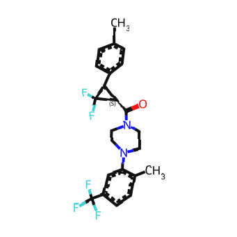 Cc1ccc(C2[C@@H](C(=O)N3CCN(c4cc(C(F)(F)F)ccc4C)CC3)C2(F)F)cc1